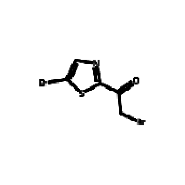 O=C(CBr)c1ncc(Br)s1